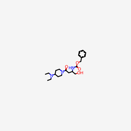 CCN(CC)C1CCN(C(=O)CC(CO)NC(=O)OCc2ccccc2)CC1